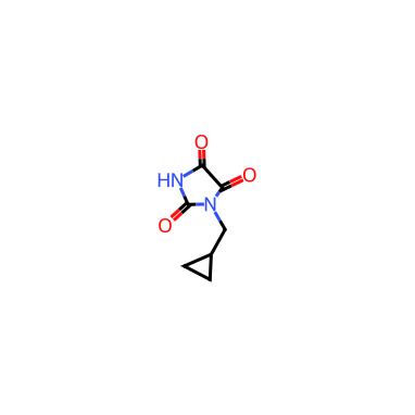 O=C1NC(=O)N(CC2CC2)C1=O